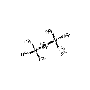 CCC[N+](CCC)(CCC)CCC.CCC[N+](CCC)(CCC)CCC.[S-2]